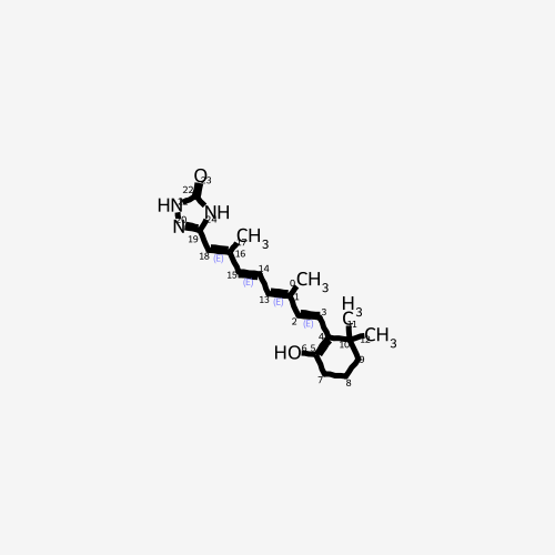 CC(/C=C/C1=C(O)CCCC1(C)C)=C\C=C\C(C)=C\c1n[nH]c(=O)[nH]1